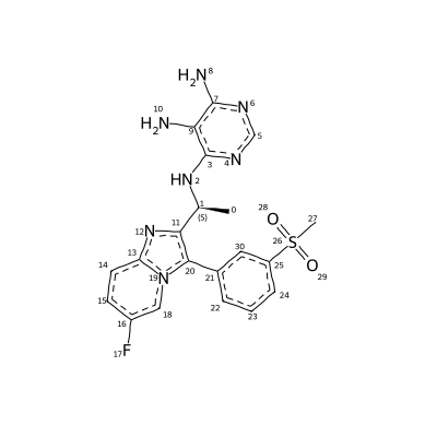 C[C@H](Nc1ncnc(N)c1N)c1nc2ccc(F)cn2c1-c1cccc(S(C)(=O)=O)c1